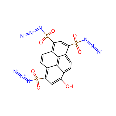 [N-]=[N+]=NS(=O)(=O)c1cc(O)c2ccc3c(S(=O)(=O)N=[N+]=[N-])cc(S(=O)(=O)N=[N+]=[N-])c4ccc1c2c34